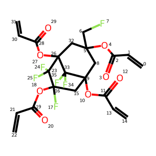 C=CC(=O)OC1(CF)CC2(OC(=O)C=C)CC(F)(OC(=O)C=C)C(F)(F)C(OC(=O)C=C)(C1)C2(F)F